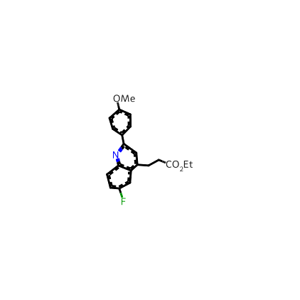 CCOC(=O)CCc1cc(-c2ccc(OC)cc2)nc2ccc(F)cc12